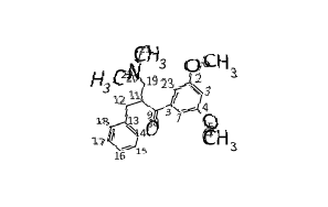 COc1cc(OC)cc(C(=O)C(Cc2ccccc2)CN(C)C)c1